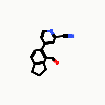 N#Cc1cc(-c2ccc3c(c2C=O)CCC3)ccn1